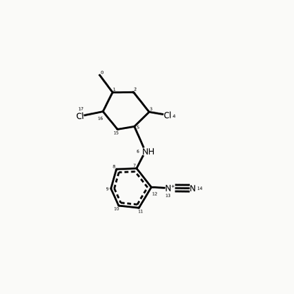 CC1CC(Cl)C(Nc2ccccc2[N+]#N)CC1Cl